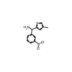 Cc1csc(C(N)c2cccc([N+](=O)[O-])c2)c1